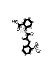 CC(Cc1ccccc1[N+](=O)[O-])C(=O)Nc1ccccc1C(=O)O